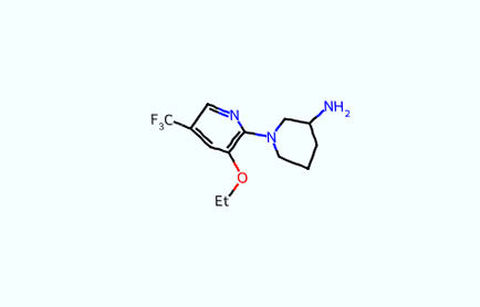 CCOc1cc(C(F)(F)F)cnc1N1CCCC(N)C1